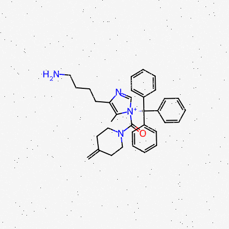 C=C1CCN(C(=O)[N@+]2(C(c3ccccc3)(c3ccccc3)c3ccccc3)C=NC(CCCCN)=C2C)CC1